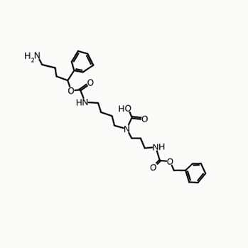 NCCCC(OC(=O)NCCCCN(CCCNC(=O)OCc1ccccc1)C(=O)O)c1ccccc1